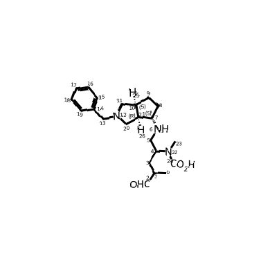 CC(C=O)CC(CN[C@H]1CC[C@@H]2CN(Cc3ccccc3)C[C@@H]21)N(C)C(=O)O